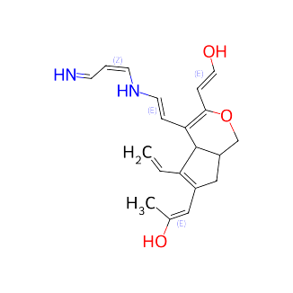 C=CC1=C(/C=C(\C)O)CC2COC(/C=C/O)=C(/C=C/N/C=C\C=N)C12